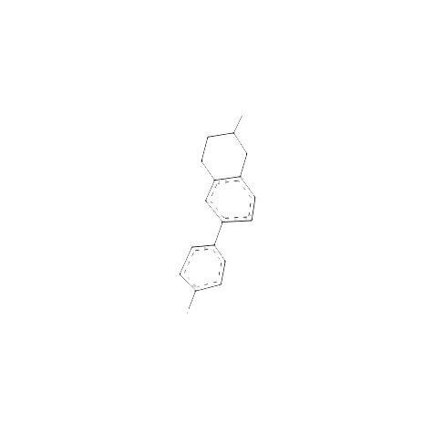 CCCCCCc1ccc(-c2ccc3c(c2)CCC(CCC)C3)cc1